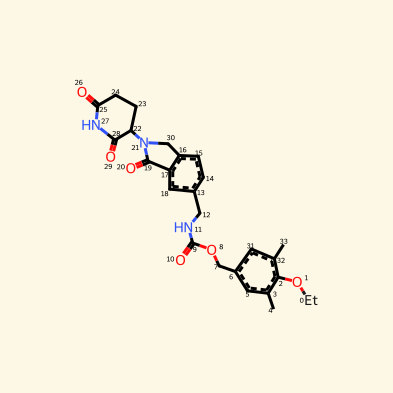 CCOc1c(C)cc(COC(=O)NCc2ccc3c(c2)C(=O)N(C2CCC(=O)NC2=O)C3)cc1C